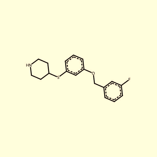 Fc1cccc(COc2cccc(SC3CCNCC3)c2)c1